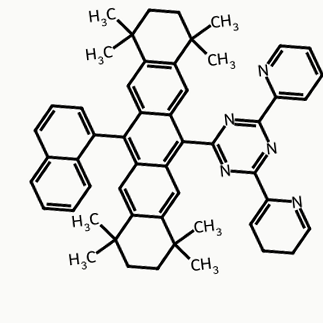 CC1(C)CCC(C)(C)c2cc3c(-c4cccc5ccccc45)c4cc5c(cc4c(-c4nc(C6=CCCC=N6)nc(-c6ccccn6)n4)c3cc21)C(C)(C)CCC5(C)C